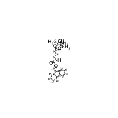 CC1(C)OB(C=CCNC(=O)OCC2c3ccccc3-c3ccccc32)OC1(C)C